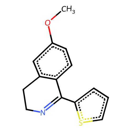 COc1ccc2c(c1)CCN=C2c1cccs1